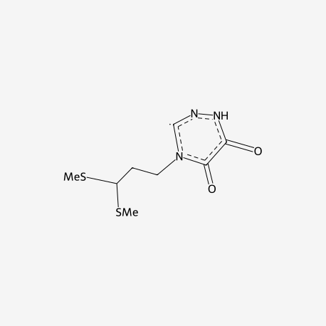 CSC(CCn1[c]n[nH]c(=O)c1=O)SC